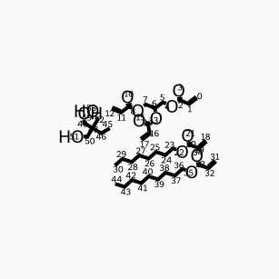 C=CC(=O)OCC(COC(=O)C=C)OC(=O)C=C.C=CC(=O)OCCCCCCCC.C=CC(=O)OCCCCCCCCC.CCC(CO)(CO)CO